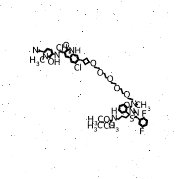 C[C@@H](Nc1ccc(C#N)n(C)c1=O)c1cc2cc(Cl)c(C3CC(OCCOCCOCCOCCOCCN(C)C(=O)N4N=C(c5cc(F)ccc5F)SC4(CCCNC(=O)OC(C)(C)C)c4ccccc4)C3)cc2[nH]c1=O